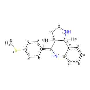 CSc1ccc([C@@H]2Nc3ccccc3[C@@H]3NCC[C@H]23)cc1